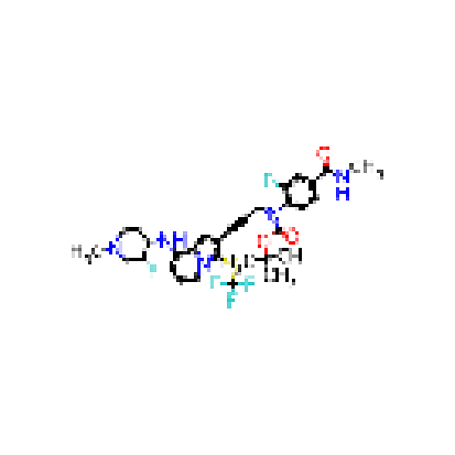 CNC(=O)c1ccc(N(CC#Cc2cc3c(N[C@@H]4CCN(C)C[C@@H]4F)cccn3c2SC(F)(F)F)C(=O)OC(C)(C)C)c(F)c1